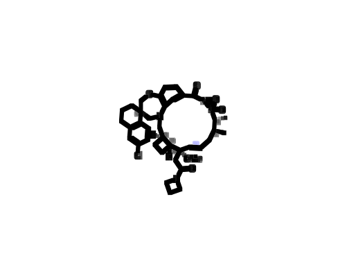 CO[C@@]1(CC(=O)N2CCC2)/C=C/C[C@H](C)[C@@H](C)S(=O)(=O)NC(=O)c2ccc3c(c2)N(C[C@@H]2CC[C@H]21)C[C@@]1(CCCc2cc(Cl)ccc21)CO3